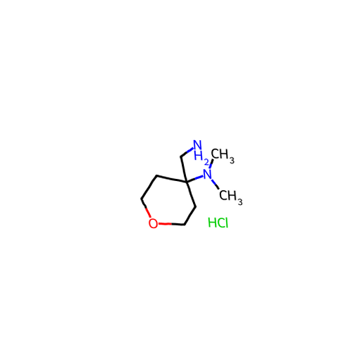 CN(C)C1(CN)CCOCC1.Cl